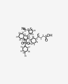 C=C(CCC(=O)O)c1cccc(-c2c(-c3ccsc3C#N)c3ccccc3n2S(=O)(=O)c2ccc(C)cc2)c1